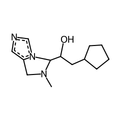 CN1Cc2cncn2C1C(O)CC1CCCC1